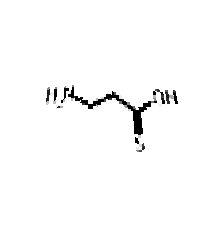 NCCC(O)=S